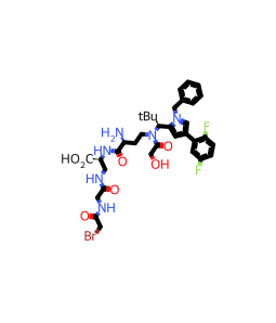 CC(C)(C)[C@H](c1cc(-c2cc(F)ccc2F)cn1Cc1ccccc1)N(CC[C@H](N)C(=O)N[C@H](CNC(=O)CNC(=O)CBr)C(=O)O)C(=O)CO